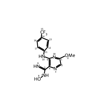 COc1cnc(C(=N)NO)c(Nc2ccc(C(F)(F)F)cc2)n1